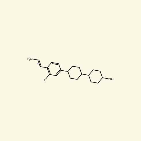 CCCCC1CCC(C2CCC(c3ccc(/C=C/C(F)(F)F)c(F)c3)CC2)CC1